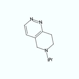 CC(C)N1CCc2nnccc2C1